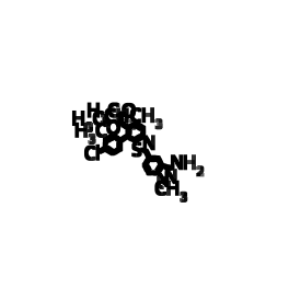 CC(=O)[C@@H](OC(C)(C)C)c1c(C)cc2nc(-c3ccc4c(c3)c(N)nn4C)sc2c1-c1ccc(Cl)cc1